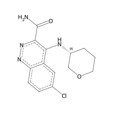 NC(=O)c1nnc2ccc(Cl)cc2c1N[C@@H]1CCCOC1